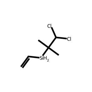 C=C[SiH2]C(C)(C)C(Cl)Cl